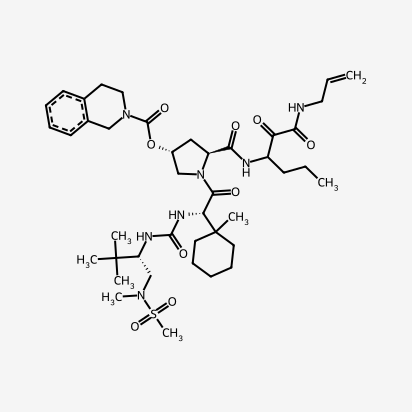 C=CCNC(=O)C(=O)C(CCC)NC(=O)[C@@H]1C[C@@H](OC(=O)N2CCc3ccccc3C2)CN1C(=O)[C@@H](NC(=O)N[C@H](CN(C)S(C)(=O)=O)C(C)(C)C)C1(C)CCCCC1